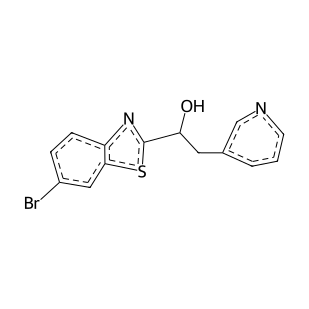 OC(Cc1cccnc1)c1nc2ccc(Br)cc2s1